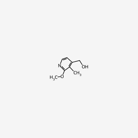 COc1nccc(CO)c1C